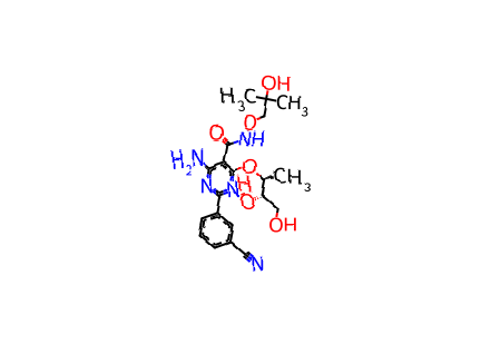 C[C@H](Oc1nc(-c2cccc(C#N)c2)nc(N)c1C(=O)NOCC(C)(C)O)[C@@H](O)CO